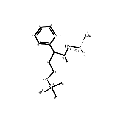 C[C@H](N[S@@+]([O-])C(C)(C)C)C(CCO[Si](C)(C)C(C)(C)C)c1ccccn1